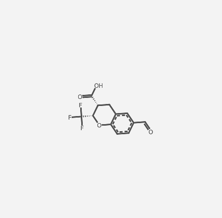 O=Cc1ccc2c(c1)C[C@@H](C(=O)O)[C@@H](C(F)(F)F)O2